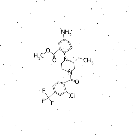 CC[C@@H]1CN(C(=O)c2ccc(C(F)(F)F)cc2Cl)CCN1c1ccc(N)cc1C(=O)OC